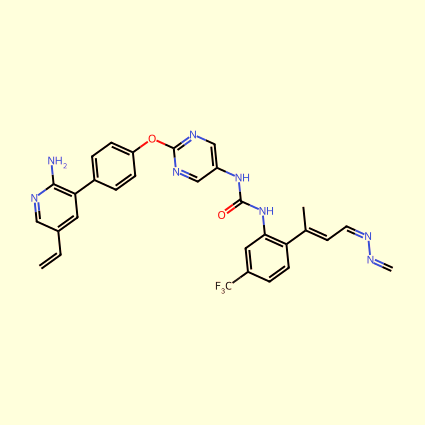 C=Cc1cnc(N)c(-c2ccc(Oc3ncc(NC(=O)Nc4cc(C(F)(F)F)ccc4/C(C)=C/C=N\N=C)cn3)cc2)c1